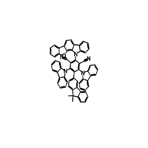 CC1(C)c2ccccc2-c2cc(-c3c(-n4c5ccccc5c5ccccc54)c(C#N)c(-n4c5ccccc5c5ccc6c7ccccc7oc6c54)c(C#N)c3-n3c4ccccc4c4ccccc43)ccc21